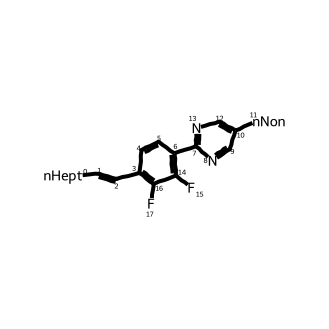 CCCCCCCC=Cc1ccc(-c2ncc(CCCCCCCCC)cn2)c(F)c1F